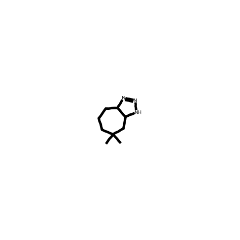 CC1(C)CCCC2N=NNC2C1